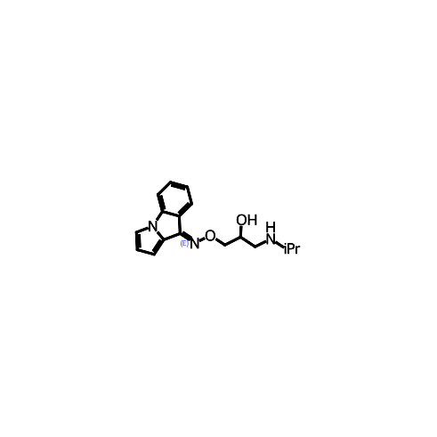 CC(C)NCC(O)CO/N=C1\c2ccccc2-n2cccc21